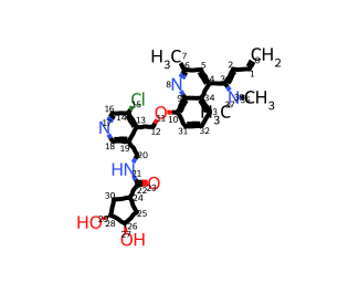 C=C/C=C(/c1cc(C)nc2c(OCc3c(Cl)cncc3CNC(=O)C3C[C@@H](O)[C@@H](O)C3)cccc12)N(C)C